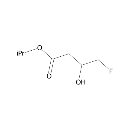 CC(C)OC(=O)CC(O)CF